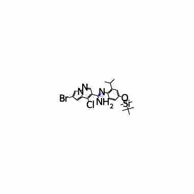 CC(C)c1cc(O[Si](C)(C)C(C)(C)C)ccc1/N=C(\N)c1cnn2cc(Br)cc2c1Cl